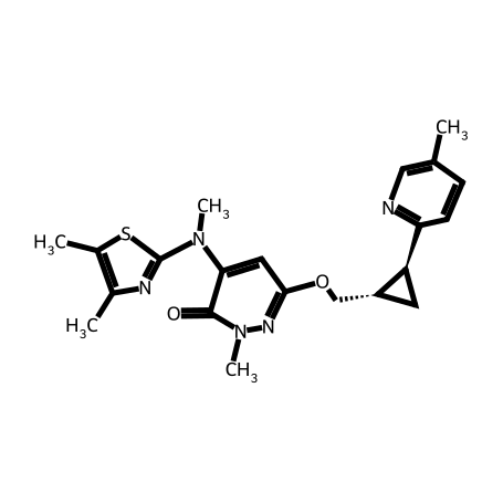 Cc1ccc([C@H]2C[C@@H]2COc2cc(N(C)c3nc(C)c(C)s3)c(=O)n(C)n2)nc1